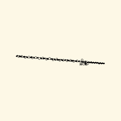 CCCCCCCCCCCCCCCC(=O)N[C@@H](CCC(=O)NCCOCCOCCOCCOCCOCCOCCOCCOCCOCCOCCOCCOCCOCCOCCOCCOCCOCCOCC)C(=O)O